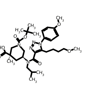 COCCCCc1c(C(=O)N(CC(C)C)[C@@H]2CN(C(=O)OC(C)(C)C)C[C@](C)(C(=O)O)C2)nnn1-c1ccc(OC)cc1